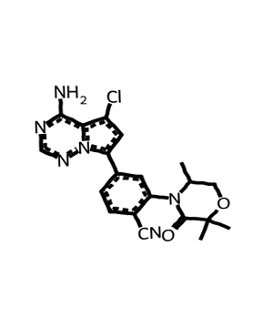 CC1COC(C)(C)C(=O)N1c1cc(-c2cc(Cl)c3c(N)ncnn23)ccc1C#N